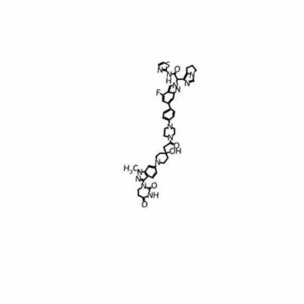 Cn1nc(N2CCC(=O)NC2=O)c2ccc(N3CCC(O)(CC(=O)N4CCN(c5ccc(-c6cc(F)c7cn(C(C(=O)Nc8nccs8)c8ncn9c8CCC9)nc7c6)cc5)CC4)CC3)cc21